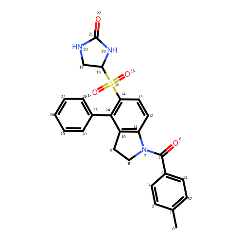 Cc1ccc(C(=O)N2CCc3c2ccc(S(=O)(=O)C2CNC(=O)N2)c3-c2ccccc2)cc1